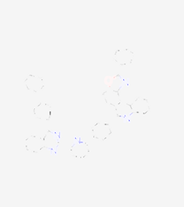 c1ccc(-c2ccc(-c3nc(-c4cccc(-c5ccc(-c6nc7ccccc7c7c6ccc6oc(-c8ccccc8)nc67)cc5)n4)nc4ccccc34)cc2)cc1